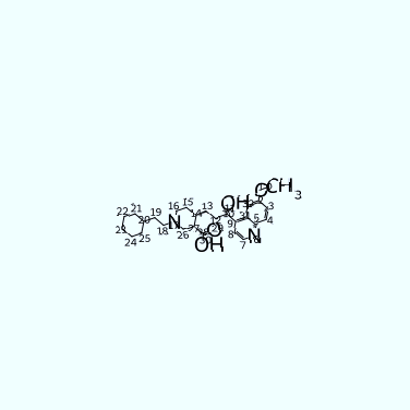 COc1ccc2nccc([C@H](O)CC[C@@H]3CCN(CCC4CCCCC4)C[C@@H]3C(=O)O)c2c1